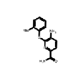 CC(C)(C)c1ccccc1Oc1nc(C(N)=O)ccc1N